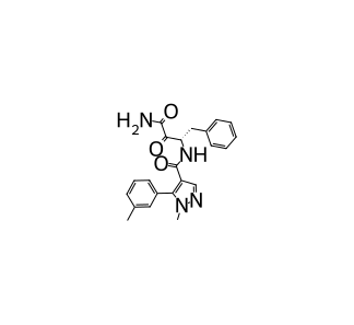 Cc1cccc(-c2c(C(=O)N[C@@H](Cc3ccccc3)C(=O)C(N)=O)cnn2C)c1